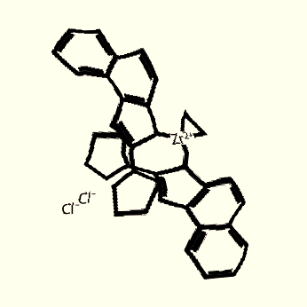 C1=C(C2CCCC2)[CH]([Zr+2]2([CH]3C(C4CCCC4)=Cc4c3ccc3ccccc43)[CH2][CH2]2)c2ccc3ccccc3c21.[Cl-].[Cl-]